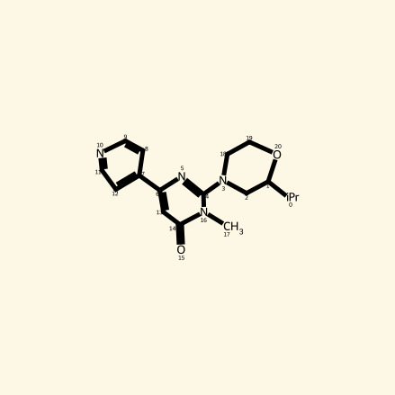 CC(C)C1CN(c2nc(-c3ccncc3)cc(=O)n2C)CCO1